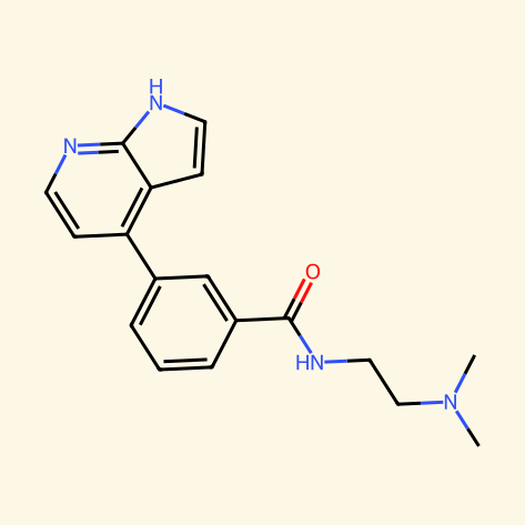 CN(C)CCNC(=O)c1cccc(-c2ccnc3[nH]ccc23)c1